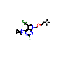 CC1(Nc2nc(Cl)nc3c2c(C(F)(F)F)cn3COCC[Si](C)(C)C)CC1